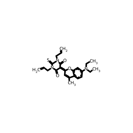 C=CCN1C(=O)C(=C2C=C(C)c3ccc(N(CC)CC)cc3O2)C(=O)N(CC=C)C1=S